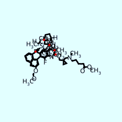 COCOc1cc(-c2c(F)cc3c(N4C[C@H]5CC[C@@](C)(C4)N5C(=O)OC(C)(C)C)nc(OCC4(CN(C)CCCCC(=O)OC)CC4)nc3c2F)c2c(C#C[Si](C(C)C)(C(C)C)C(C)C)cccc2c1